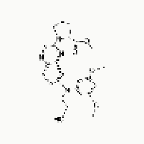 COC(=O)C1CCCN1c1cnc2ccc(N(CCO)c3cc(OC)cc(OC)c3)cc2n1